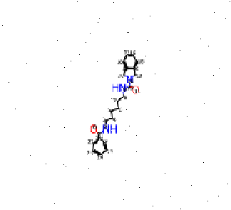 O=C(NCCCCCCNC(=O)N1Cc2ccccc2C1)c1ccccc1